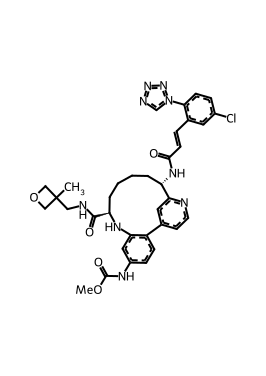 COC(=O)Nc1ccc2c(c1)N[C@@H](C(=O)NCC1(C)COC1)CCCC[C@H](NC(=O)/C=C/c1cc(Cl)ccc1-n1cnnn1)c1cc-2ccn1